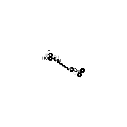 O=C1CCc2c(C(O)CNCCCCCCCCCN3CCC(OC(=O)Nc4ccccc4-c4ccccc4)CC3)ccc(O)c2N1